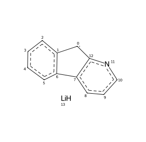 [CH]1c2ccccc2-c2cccnc21.[LiH]